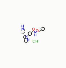 Cl.O=C(NOCc1ccccc1)c1ccc(-n2c(C3CCNCC3)cc3cccnc32)cc1